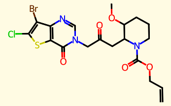 C=CCOC(=O)N1CCCC(OC)C1CC(=O)Cn1cnc2c(Br)c(Cl)sc2c1=O